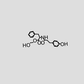 O=C(CCc1ccc(O)cc1)NC(Cc1ccccc1)C(=O)OCCO